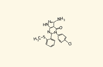 CSc1ccccc1-c1nc2[nH]nc(N)c2c(=O)n1-c1ccc(Cl)cc1